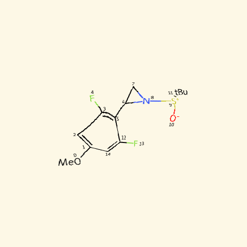 COc1cc(F)c(C2CN2[S@+]([O-])C(C)(C)C)c(F)c1